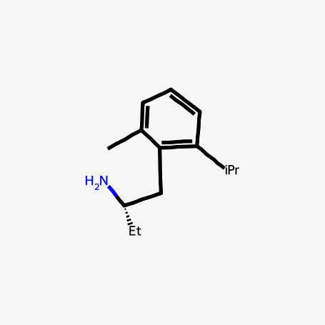 CC[C@H](N)Cc1c(C)cccc1C(C)C